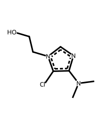 CN(C)c1ncn(CCO)c1Cl